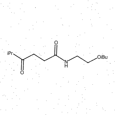 CC(C)COCCNC(=O)CCC(=O)C(C)C